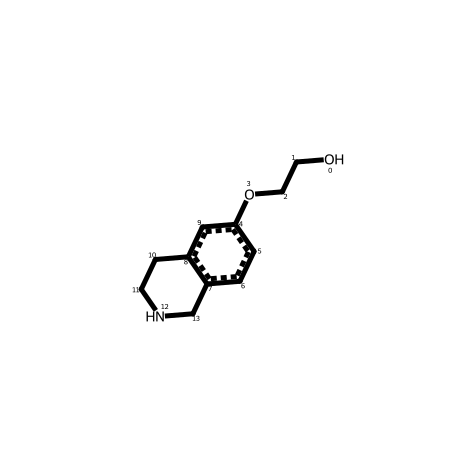 OCCOc1ccc2c(c1)CCNC2